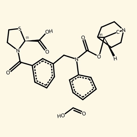 O=C(O)[C@@H]1SCCN1C(=O)c1cccc(CN(C(=O)O[C@H]2CN3CCC2CC3)c2ccccc2)c1.O=CO